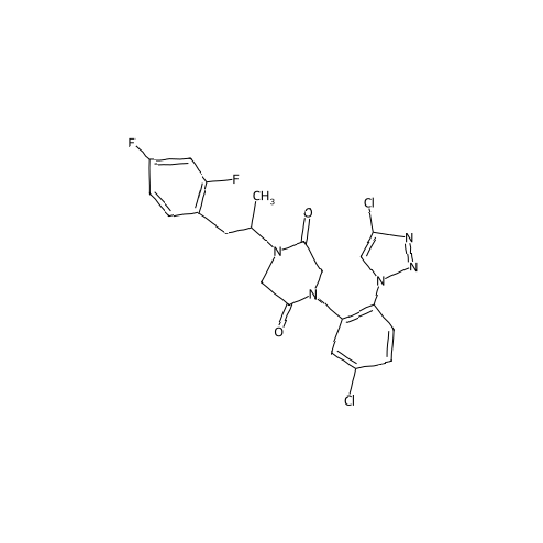 CC(Cc1ccc(F)cc1F)N1CC(=O)N(c2cc(Cl)ccc2-n2cc(Cl)nn2)CC1=O